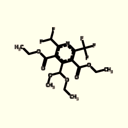 CCOC(=O)c1c(C(F)F)nc(C(F)(F)F)c(C(=O)OCC)c1C(OC)OCC